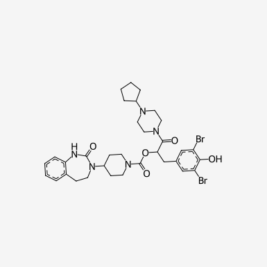 O=C(OC(Cc1cc(Br)c(O)c(Br)c1)C(=O)N1CCN(C2CCCC2)CC1)N1CCC(N2CCc3ccccc3NC2=O)CC1